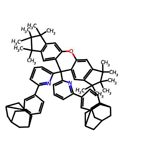 CC1(C)c2cc3c(cc2C(C)(C)C1(C)C)C(c1cccc(-c2ccc4c(c2)C2CC5CC(CC4C5)C2)n1)(c1cccc(-c2ccc4c(c2)C2CC5CC(CC4C5)C2)n1)c1cc2c(cc1O3)C(C)(C)C(C)(C)C2(C)C